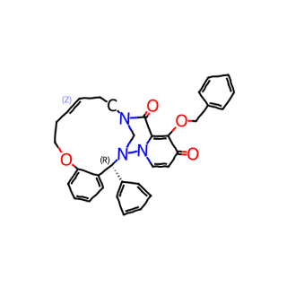 O=C1c2c(OCc3ccccc3)c(=O)ccn2N2CN1CC/C=C\CCOc1ccccc1[C@H]2c1ccccc1